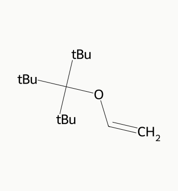 C=COC(C(C)(C)C)(C(C)(C)C)C(C)(C)C